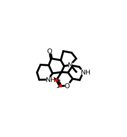 CN1CCCC2C(=O)C3CCCNC3C3(c4ccccc4OC4CNCCC43)C21